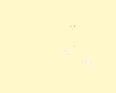 COc1cc(C(N)=O)ncc1Oc1ccc(F)cc1